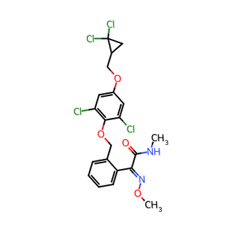 CNC(=O)/C(=N/OC)c1ccccc1COc1c(Cl)cc(OCC2CC2(Cl)Cl)cc1Cl